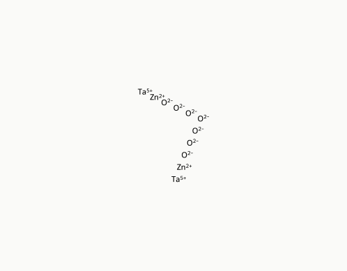 [O-2].[O-2].[O-2].[O-2].[O-2].[O-2].[O-2].[Ta+5].[Ta+5].[Zn+2].[Zn+2]